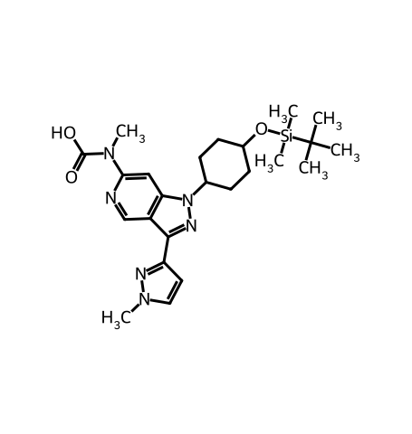 CN(C(=O)O)c1cc2c(cn1)c(-c1ccn(C)n1)nn2C1CCC(O[Si](C)(C)C(C)(C)C)CC1